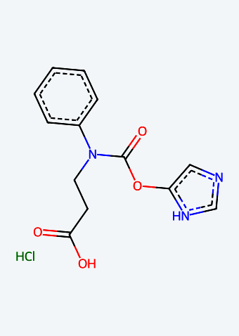 Cl.O=C(O)CCN(C(=O)Oc1cnc[nH]1)c1ccccc1